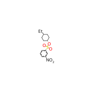 CC[C@H]1CC[C@H](OS(=O)(=O)c2cccc([N+](=O)[O-])c2)CC1